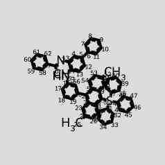 C/C(=N\c1cc(-c2ccccc2)ccc1Nc1cccc(-c2c3cc(C)ccc3c(S(c3ccccc3)(c3ccccc3)c3ccccc3)c3cc(C)ccc23)c1)c1ccccc1